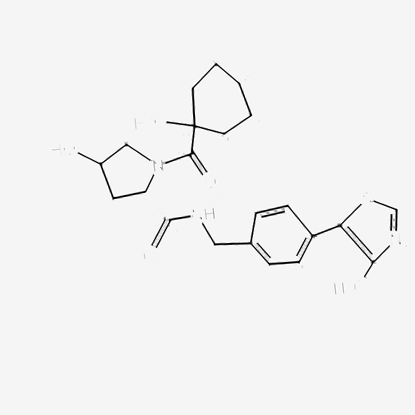 Cc1ncsc1-c1ccc(CNC(=O)[C@@H]2CC(O)CN2C(=O)C2(C)CCCCC2)cc1